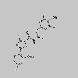 COc1cc(Cl)ccc1-c1nc(C)c(C(=O)NN(C)Cc2cc(C)c(O)c(C)c2)s1